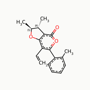 C=Cc1c(-c2ccccc2C)oc(=O)c2c1O[C@@H](C)[C@@H]2C